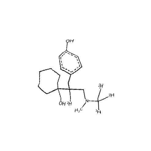 [2H]C([2H])([2H])N(C)CC([2H])(c1ccc(O)cc1)C1(O)CCCCC1